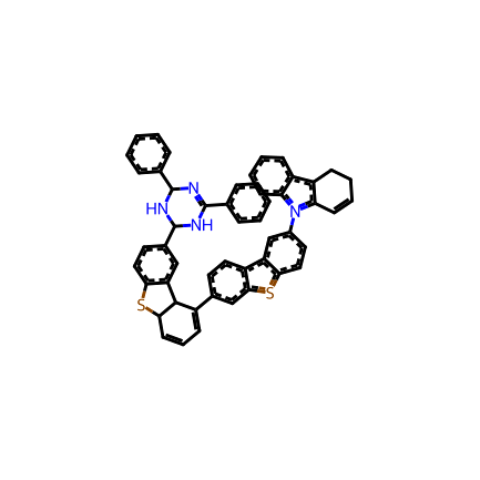 C1=CC2Sc3ccc(C4NC(c5ccccc5)=NC(c5ccccc5)N4)cc3C2C(c2ccc3c(c2)sc2ccc(-n4c5c(c6ccccc64)CCC=C5)cc23)=C1